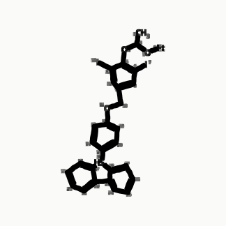 CCOC(C)Oc1c(I)cc(COc2ccc([SH]3c4ccccc4-c4ccccc43)cc2)cc1I